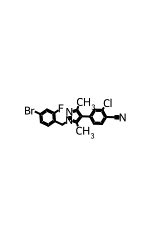 Cc1nn(Cc2ccc(Br)cc2F)c(C)c1-c1ccc(C#N)c(Cl)c1